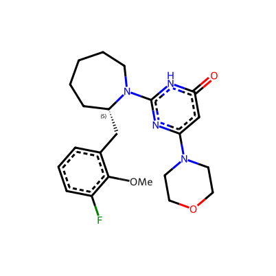 COc1c(F)cccc1C[C@@H]1CCCCCN1c1nc(N2CCOCC2)cc(=O)[nH]1